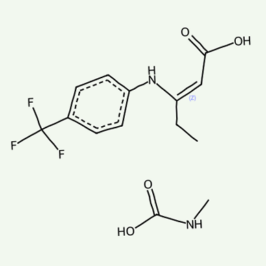 CC/C(=C/C(=O)O)Nc1ccc(C(F)(F)F)cc1.CNC(=O)O